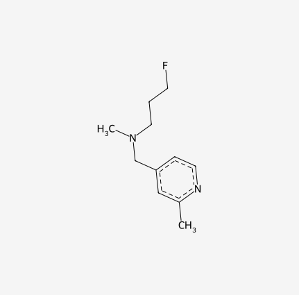 Cc1cc(CN(C)CCCF)ccn1